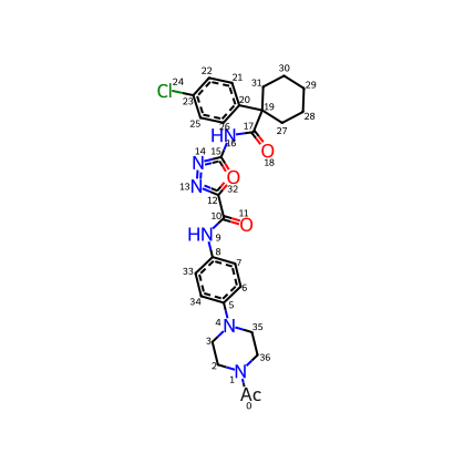 CC(=O)N1CCN(c2ccc(NC(=O)c3nnc(NC(=O)C4(c5ccc(Cl)cc5)CCCCC4)o3)cc2)CC1